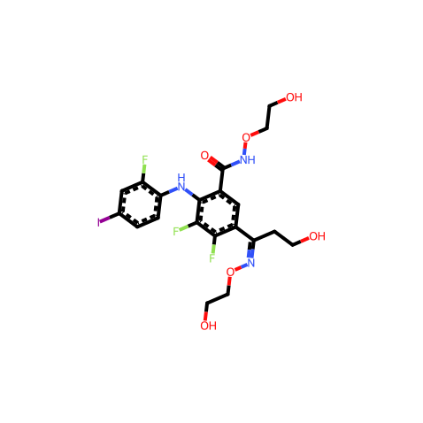 O=C(NOCCO)c1cc(/C(CCO)=N\OCCO)c(F)c(F)c1Nc1ccc(I)cc1F